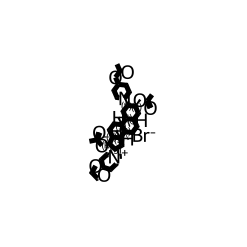 CC(=O)OC1CCN([C@H]2C[C@@]3(C)[C@@H](CC[C@@H]4[C@@H]3CC[C@@]3(C)[C@H]4C[C@H]([N+]4(C)CCC5(CC4)OCCO5)[C@@H]3OC(C)=O)C[C@@H]2OC(C)=O)CC1.[Br-]